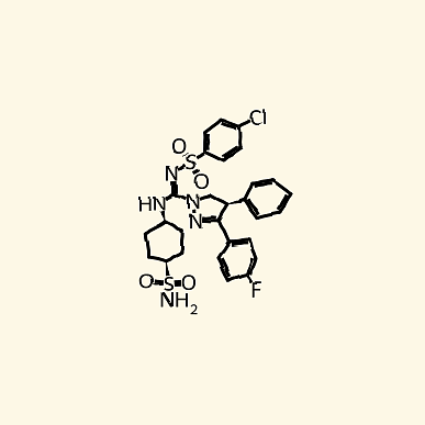 NS(=O)(=O)[C@H]1CC[C@@H](N/C(=N/S(=O)(=O)c2ccc(Cl)cc2)N2C[C@@H](c3ccccc3)C(c3ccc(F)cc3)=N2)CC1